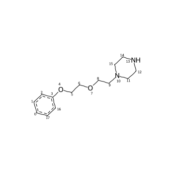 c1ccc(OCCOCCN2CCNCC2)cc1